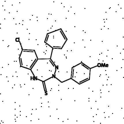 COc1ccc(CN2N=C(c3ccccc3)c3cc(Cl)ccc3NC2=S)cc1